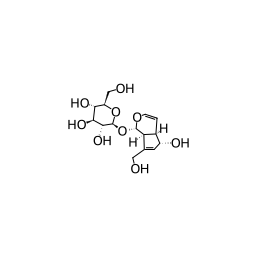 OCC1=C[C@@H](O)[C@@H]2C=CO[C@@H](O[C@@H]3O[C@H](CO)[C@@H](O)[C@H](O)[C@H]3O)[C@H]12